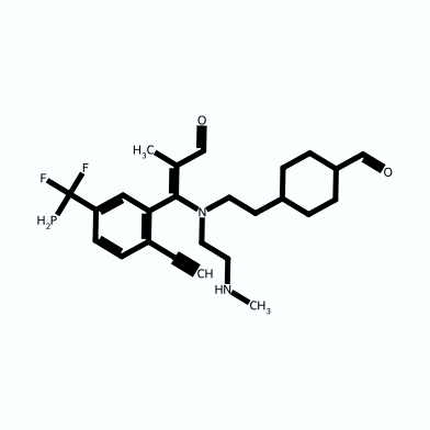 C#Cc1ccc(C(F)(F)P)cc1/C(=C(\C)C=O)N(CCNC)CCC1CCC(C=O)CC1